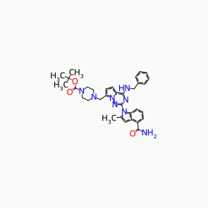 Cc1cc2c(C(N)=O)cccc2n1-c1nc(NCc2ccccc2)c2ccc(CN3CCN(C(=O)OC(C)(C)C)CC3)n2n1